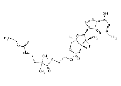 CCOC(=O)NCCC(C)(C)C(=O)SCCO[P@]1(=O)OC[C@H]2O[C@@H](n3cnc4c(O)nc(N)nc43)[C@](C)(F)[C@@H]2O1